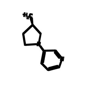 [CH2][C@@H]1CCN(c2cccnc2)C1